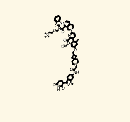 Cc1cc(OCC2CC3(CCN(CC(=O)Nc4ccc5c(C6CCC(=O)NC6=O)nn(C)c5c4)CC3)C2)ccc1-c1ccc(N2CCc3ccnc(C(=O)N(COCC[Si](C)(C)C)c4nc5ccccc5s4)c3C2)nc1C(=O)OC(C)(C)C